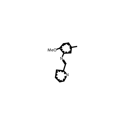 COc1ccc(C)cc1/N=C/c1ccccn1